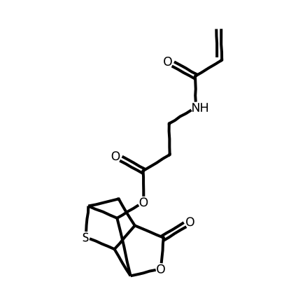 C=CC(=O)NCCC(=O)OC1C2CC3C(=O)OC1C3S2